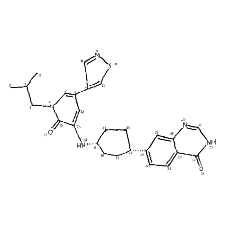 CC(C)Cn1cc(-c2cnsc2)cc(N[C@H]2CC[C@@H](c3ccc4c(=O)[nH]cnc4c3)CC2)c1=O